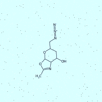 CC1=NC2C(O)CC(CN=[N+]=[N-])OC2O1